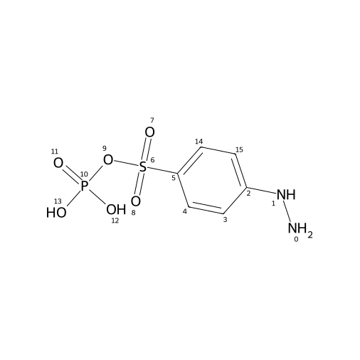 NNc1ccc(S(=O)(=O)OP(=O)(O)O)cc1